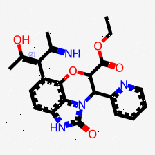 CCOC(=O)C1Oc2c(/C(C(C)=N)=C(\C)O)ccc3[nH]c(=O)n(c23)C1c1ccccn1